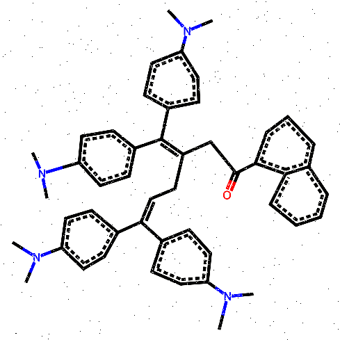 CN(C)c1ccc(C(=CCC(CC(=O)c2cccc3ccccc23)=C(c2ccc(N(C)C)cc2)c2ccc(N(C)C)cc2)c2ccc(N(C)C)cc2)cc1